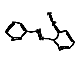 [N-]=[N+]=C1C=CC=CC1N=Nc1ccccc1